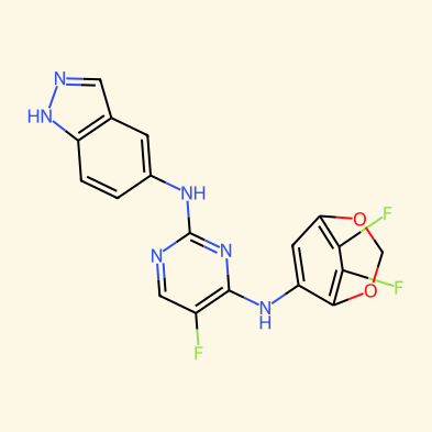 Fc1cnc(Nc2ccc3[nH]ncc3c2)nc1Nc1cc2c(F)c(F)c1OCO2